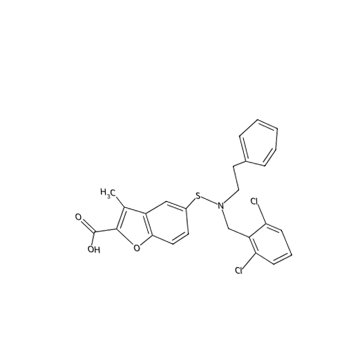 Cc1c(C(=O)O)oc2ccc(SN(CCc3ccccc3)Cc3c(Cl)cccc3Cl)cc12